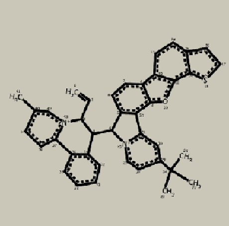 C=CC1C(C2c3ccc4c(oc5c4ccc4ccsc45)c3-c3cc(C(C)(C)C)cc[n+]32)c2ccccc2-c2ccc(C)c[n+]21